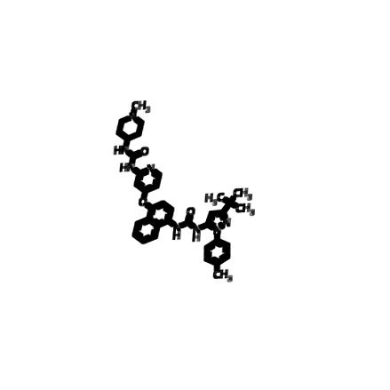 Cc1ccc(-n2nc(C(C)(C)C)cc2NC(=O)Nc2ccc(Oc3ccnc(NC(=O)NC4CCN(C)CC4)c3)c3ccccc23)cc1